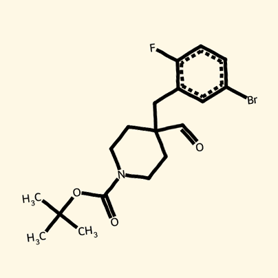 CC(C)(C)OC(=O)N1CCC(C=O)(Cc2cc(Br)ccc2F)CC1